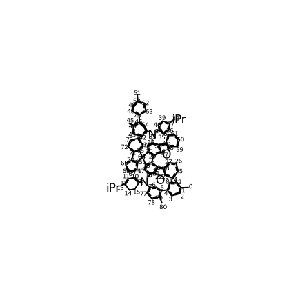 Cc1ccc(-c2cc(N(C3=CC=C(C(C)C)CC3)c3cc4c(c5c3oc3ccccc35)-c3c(cc(N(c5ccc(C(C)C)cc5)c5ccc(C)c(-c6ccc(C)cc6)c5)c5c3oc3ccccc35)C43c4ccccc4-c4ccccc43)ccc2C)cc1